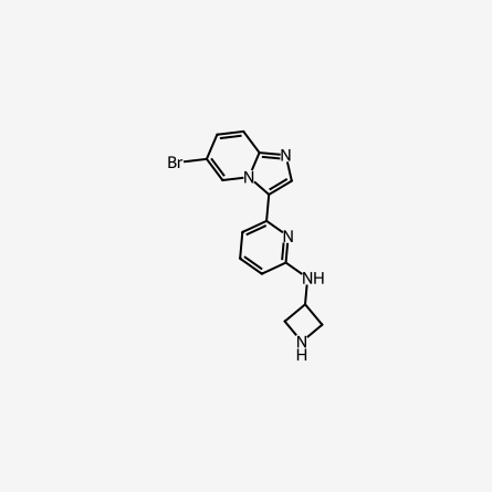 Brc1ccc2ncc(-c3cccc(NC4CNC4)n3)n2c1